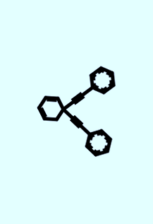 C(#CC1(C#Cc2ccccc2)C=CC=CC1)c1ccccc1